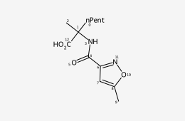 CCCCCC(C)(NC(=O)c1cc(C)on1)C(=O)O